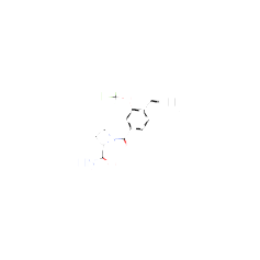 C=Cc1ccc(C(=O)N2CCC2C(=O)NO)cc1OC(F)(F)F